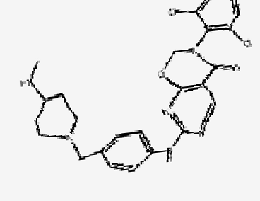 CNC1CCN(Cc2ccc(Nc3ncc4c(n3)OCN(c3c(Cl)cccc3Cl)C4=O)cc2)CC1